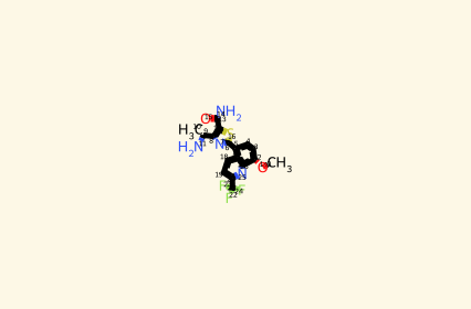 COc1ccc(-c2nc(C(C)N)c(C(N)=O)s2)c2ccc(C(F)(F)F)nc12